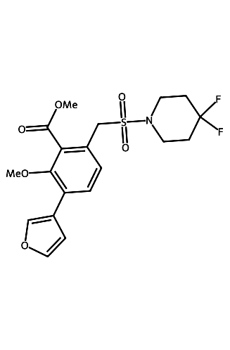 COC(=O)c1c(CS(=O)(=O)N2CCC(F)(F)CC2)ccc(-c2ccoc2)c1OC